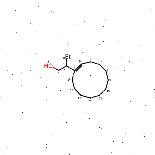 CCC(CO)C1=CCCCCCCCCCC1